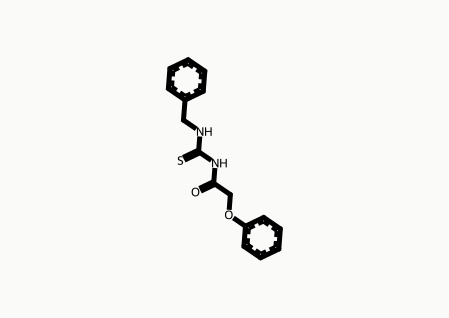 O=C(COc1ccccc1)NC(=S)NCc1ccccc1